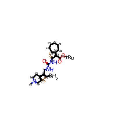 Bc1sc2c(c1CNC(=O)Nc1sc3c(c1C(=O)OC(C)(C)C)CCCCC3)CCN(C)C2